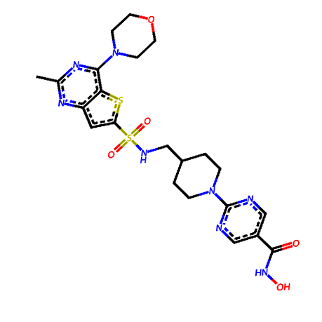 Cc1nc(N2CCOCC2)c2sc(S(=O)(=O)NCC3CCN(c4ncc(C(=O)NO)cn4)CC3)cc2n1